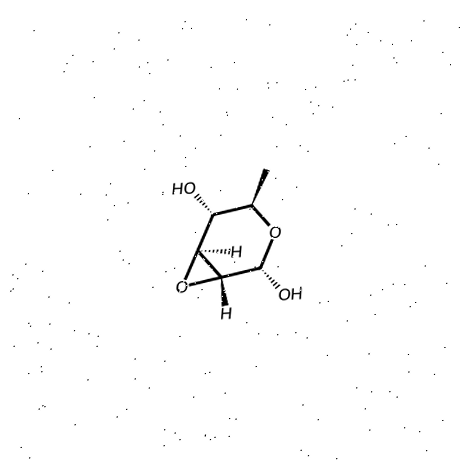 C[C@H]1O[C@H](O)[C@@H]2O[C@H]2[C@@H]1O